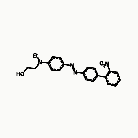 CCN(CCO)c1ccc(N=Nc2ccc(-c3ccccc3[N+](=O)[O-])cc2)cc1